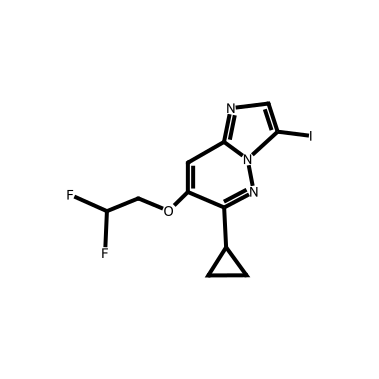 FC(F)COc1cc2ncc(I)n2nc1C1CC1